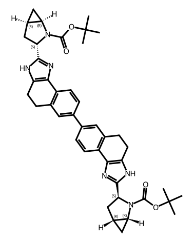 CC(C)(C)OC(=O)N1[C@@H]2C[C@@H]2C[C@H]1c1nc2c([nH]1)CCc1cc(-c3ccc4c(c3)CCc3[nH]c([C@@H]5C[C@H]6C[C@H]6N5C(=O)OC(C)(C)C)nc3-4)ccc1-2